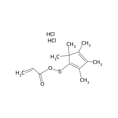 C=CC(=O)[O][Ti][C]1=C(C)C(C)=C(C)C1(C)C.Cl.Cl